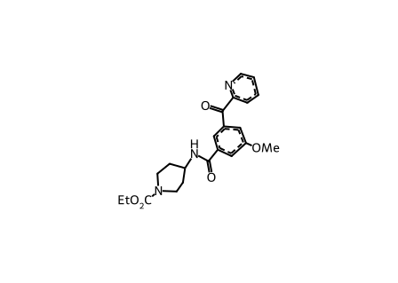 CCOC(=O)N1CCC(NC(=O)c2cc(OC)cc(C(=O)c3ccccn3)c2)CC1